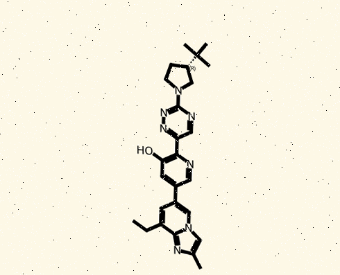 CCc1cc(-c2cnc(-c3cnc(N4CC[C@H](C(C)(C)C)C4)nn3)c(O)c2)cn2cc(C)nc12